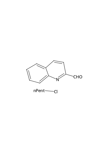 CCCCCCl.O=Cc1ccc2ccccc2n1